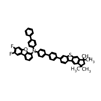 CC1(C)CC(C)(C)c2cc3c(cc21)sc1cc(-c2ccc(-c4ccc(N(c5ccc(-c6ccccc6)cc5)c5cccc6c5oc5cc(F)c(F)cc56)cc4)cc2)ccc13